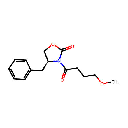 COCCCC(=O)N1C(=O)OC[C@@H]1Cc1ccccc1